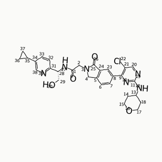 O=C(CN1Cc2ccc(-c3nc(NC4CCOCC4)ncc3Cl)cc2C1=O)N[C@H](CO)c1ccc(C2CC2)cn1